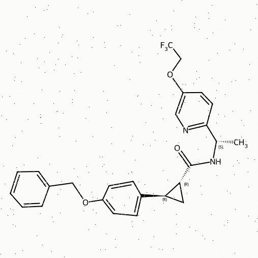 C[C@H](NC(=O)[C@@H]1C[C@H]1c1ccc(OCc2ccccc2)cc1)c1ccc(OCC(F)(F)F)cn1